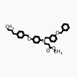 CCCCc1ccc(COc2ccc(N(CCC(=O)OC)Cc3cccc(OCc4ccccc4)c3)cc2)cc1